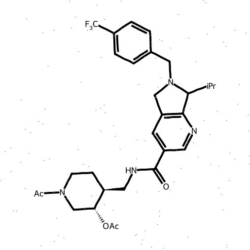 CC(=O)O[C@@H]1CN(C(C)=O)CC[C@H]1CNC(=O)c1cnc2c(c1)CN(Cc1ccc(C(F)(F)F)cc1)C2C(C)C